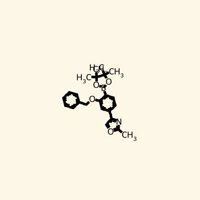 Cc1nc(-c2ccc(B3OC(C)(C)C(C)(C)O3)c(OCc3ccccc3)c2)co1